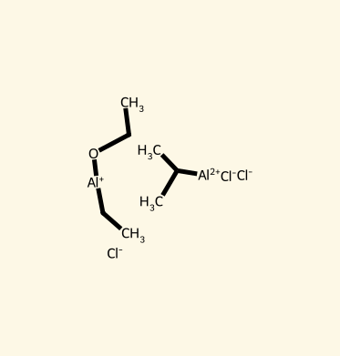 CC[O][Al+][CH2]C.C[CH](C)[Al+2].[Cl-].[Cl-].[Cl-]